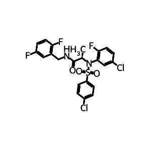 C[C@H](C(=O)NCc1cc(F)ccc1F)N(c1cc(Cl)ccc1F)S(=O)(=O)c1ccc(Cl)cc1